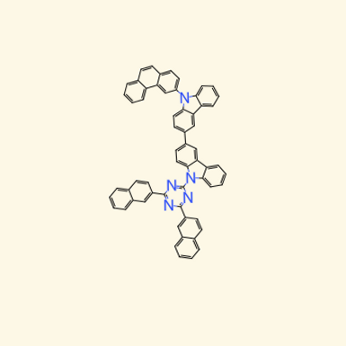 c1ccc2cc(-c3nc(-c4ccc5ccccc5c4)nc(-n4c5ccccc5c5cc(-c6ccc7c(c6)c6ccccc6n7-c6ccc7ccc8ccccc8c7c6)ccc54)n3)ccc2c1